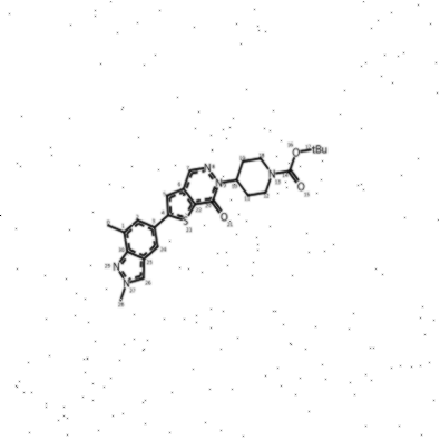 Cc1cc(-c2cc3cnn(C4CCN(C(=O)OC(C)(C)C)CC4)c(=O)c3s2)cc2cn(C)nc12